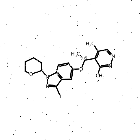 Cc1cnnc(C)c1[C@@H](C)Oc1ccc2c(c1)c(I)nn2C1CCCCO1